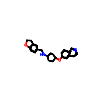 c1cc2cc(OC3CCC(NCc4ccc5c(c4)CCO5)CC3)ccc2cn1